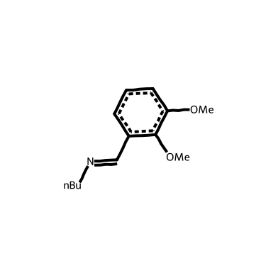 CCCCN=Cc1cccc(OC)c1OC